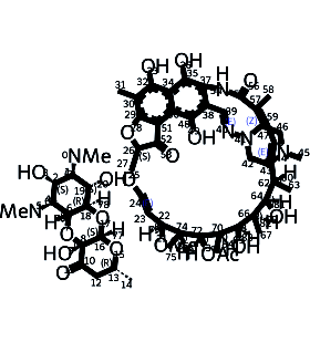 CN[C@@H]1[C@H](O)[C@H](NC)[C@H]2O[C@@]3(O)C(=O)C[C@@H](C)O[C@H]3O[C@@H]2[C@H]1O.CO[C@H]1/C=C/O[C@@]2(C)Oc3c(C)c(O)c4c(O)c(c(/C=N/N5CCN(C)CC5)c(O)c4c3C2=O)NC(=O)/C(C)=C\C=C\[C@H](C)[C@H](O)[C@@H](C)[C@@H](O)[C@@H](C)[C@H](OC(C)=O)[C@@H]1C